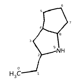 CCC1CC2CCCC2N1